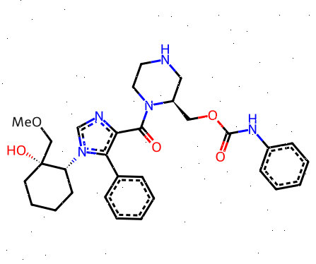 COC[C@]1(O)CCCC[C@H]1n1cnc(C(=O)N2CCNC[C@H]2COC(=O)Nc2ccccc2)c1-c1ccccc1